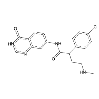 CNCCC(C(=O)Nc1ccc2c(=O)[nH]cnc2c1)c1ccc(Cl)cc1